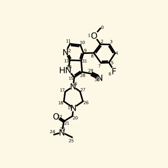 COc1ccc(F)cc1-c1ccnc2[nH]c(N3CCN(CC(=O)N(C)C)CC3)c(C#N)c12